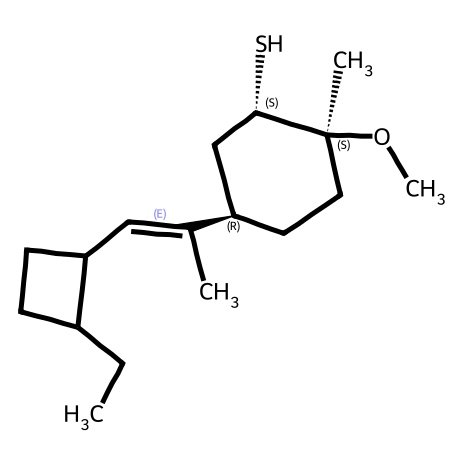 CCC1CCC1/C=C(\C)[C@@H]1CC[C@](C)(OC)[C@@H](S)C1